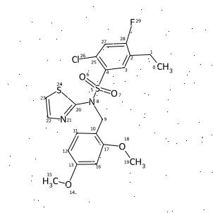 CCc1cc(S(=O)(=O)N(Cc2ccc(OC)cc2OC)c2nccs2)c(Cl)cc1F